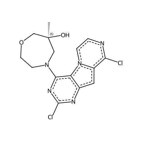 C[C@@]1(O)COCCN(c2nc(Cl)nc3cc4c(Cl)nccn4c23)C1